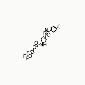 O=C(CO[C@H]1C[C@H](OC(F)(F)F)C1)NC1CCN(c2nnc(-c3ccc(Cl)cc3)o2)CC1